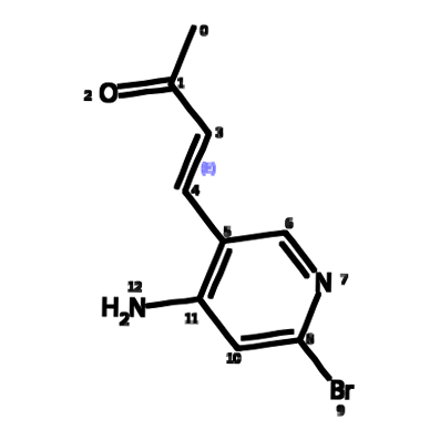 CC(=O)/C=C/c1cnc(Br)cc1N